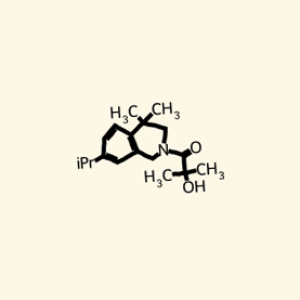 CC(C)c1ccc2c(c1)CN(C(=O)C(C)(C)O)CC2(C)C